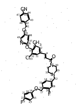 Cc1cc(C=CC(=O)N2CCN(Cc3ccc(COc4ccc(F)cc4)c(F)c3)CC2)cc(Cl)c1Oc1ccc(OCc2ccc(C#N)cc2)cn1